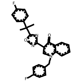 CC(C)(c1ccc(F)cc1)c1nc(-c2cn(Cc3ccc(F)cc3)c3ccccc3c2=O)no1